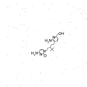 CC(C)(C)C(CCc1ccc(CO)nc1N)CCn1ccc(N)nc1=O